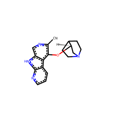 N#Cc1ncc2[nH]c3ncccc3c2c1O[C@@H]1CN2CCC1CC2